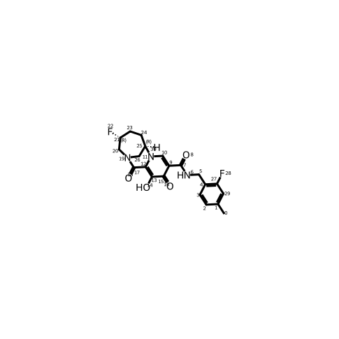 Cc1ccc(CNC(=O)c2cn3c(c(O)c2=O)C(=O)N2C[C@H](F)CC[C@@H]3C2)c(F)c1